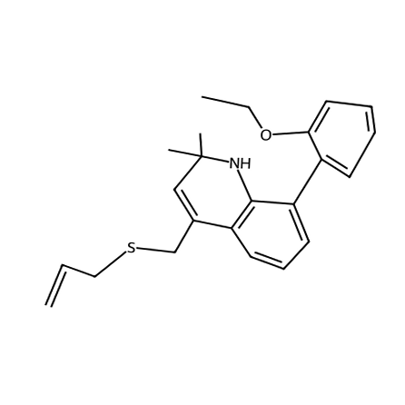 C=CCSCC1=CC(C)(C)Nc2c1cccc2-c1ccccc1OCC